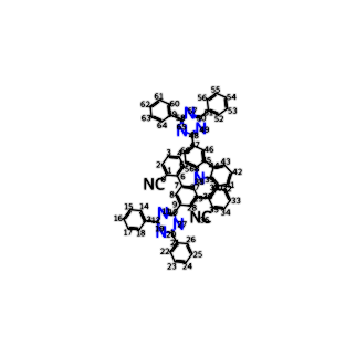 N#Cc1ccccc1-c1cc(-c2nc(-c3ccccc3)nc(-c3ccccc3)n2)cc(-c2ccccc2C#N)c1-n1c2ccccc2c2cc(-c3nc(-c4ccccc4)nc(-c4ccccc4)n3)ccc21